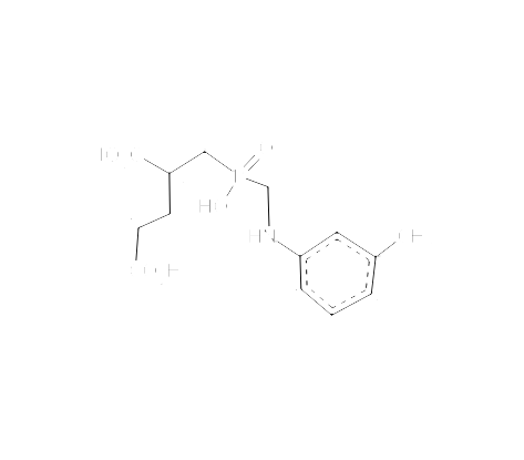 Cc1cccc(NCP(=O)(O)CC(CCC(=O)O)C(=O)O)c1